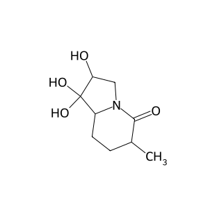 CC1CCC2N(CC(O)C2(O)O)C1=O